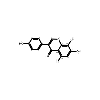 O=c1c(-c2ccc(O)cc2)coc2c(O)c(O)cc(O)c12